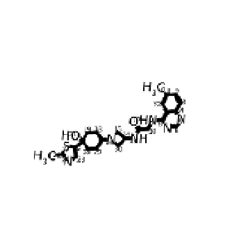 Cc1ccc2ncnc(NCC(=O)NC3CN(C4CCC(O)(c5cnc(C)s5)CC4)C3)c2c1